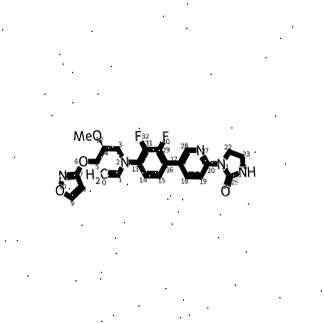 C=CN(C[C@H](COc1ccon1)OC)c1ccc(-c2ccc(N3CCNC3=O)nc2)c(F)c1F